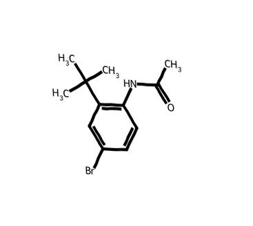 CC(=O)Nc1ccc(Br)cc1C(C)(C)C